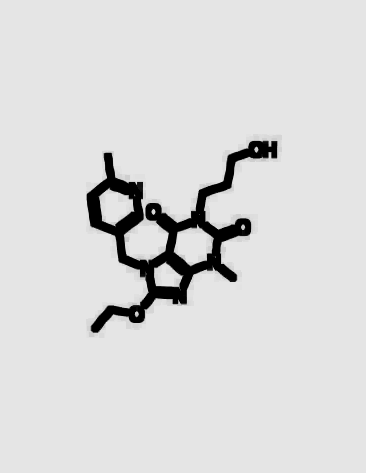 CCOc1nc2c(c(=O)n(CCCO)c(=O)n2C)n1Cc1ccc(C)nc1